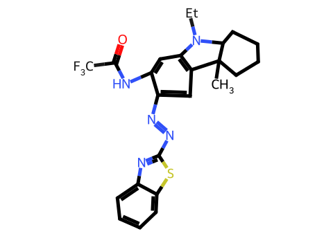 CCN1c2cc(NC(=O)C(F)(F)F)c(N=Nc3nc4ccccc4s3)cc2C2(C)CCCCC12